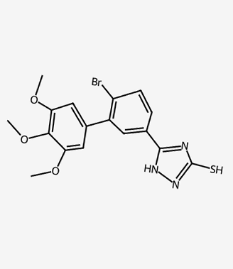 COc1cc(-c2cc(-c3nc(S)n[nH]3)ccc2Br)cc(OC)c1OC